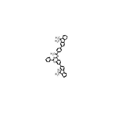 C=C(/N=C(\N=C(/C)c1ccccc1)c1ccc(-c2ccc3c(c2)C(C)(C)c2ccccc2-3)cc1)c1ccc(-c2ccc3c(c2)C(C)(C)C2=C3CCC=C2)cc1